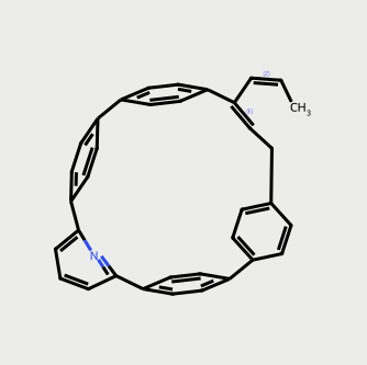 C/C=C\C1=C/Cc2ccc(cc2)-c2ccc(cc2)-c2cccc(n2)-c2ccc(cc2)-c2ccc1cc2